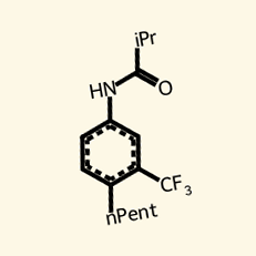 CCCCCc1ccc(NC(=O)C(C)C)cc1C(F)(F)F